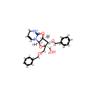 OC[C@]1(COCc2ccccc2)O[C@@H]2[C@@H](OC3=NCC=CN32)[C@@H]1OCc1ccccc1